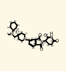 CN(CC1(F)CCN(c2ccc3c(c2)C(=O)N(C2CCC(=O)NC2=O)C3=O)CC1)C1CCCCC1